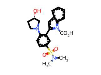 CN(C)S(=O)(=O)c1ccc(N2CC[C@H](O)C2)c(-c2cc3ccccc3n2C(=O)O)c1